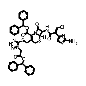 Nc1nc(C(=CCl)C(=O)NC2C(=O)N3C(C(=O)OC(c4ccccc4)c4ccccc4)=C(CSc4nnnn4CC(=O)OC(c4ccccc4)c4ccccc4)CS[C@@H]23)cs1